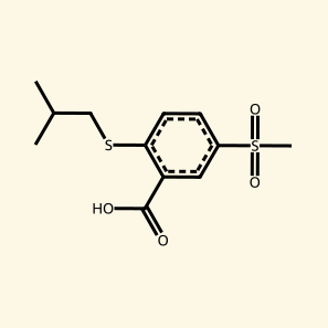 CC(C)CSc1ccc(S(C)(=O)=O)cc1C(=O)O